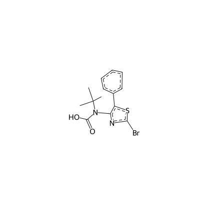 CC(C)(C)N(C(=O)O)c1nc(Br)sc1-c1ccccc1